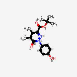 Cc1c(C(=O)OC(C)(C)C)nn(-c2ccc(O)cc2)c(=O)c1C